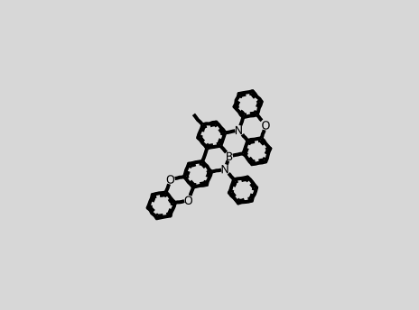 Cc1cc2c3c(c1)N1c4ccccc4Oc4cccc(c41)B3N(c1ccccc1)c1cc3c(cc1-2)Oc1ccccc1O3